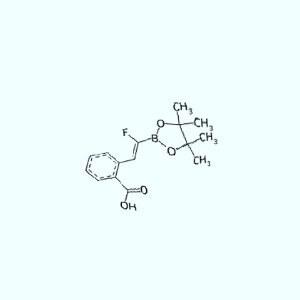 CC1(C)OB(/C(F)=C/c2ccccc2C(=O)O)OC1(C)C